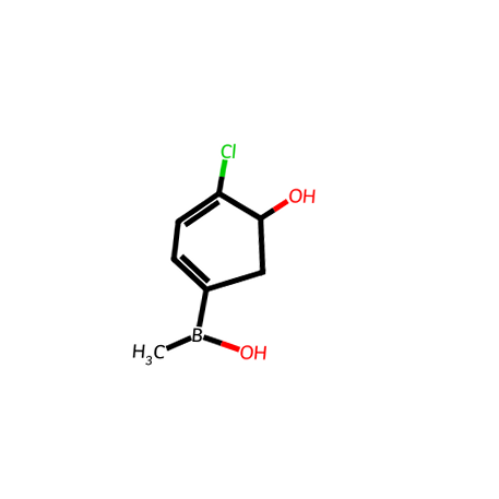 CB(O)C1=CC=C(Cl)C(O)C1